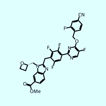 COC(=O)c1ccc2nc(Cc3c(F)cc(-c4ncc(F)c(OCc5ccc(C#N)cc5F)n4)c(F)c3F)n(C[C@@H]3CCO3)c2c1